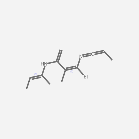 C=C(N/C(C)=C/C)/C(C)=C(/CC)N=C=CC